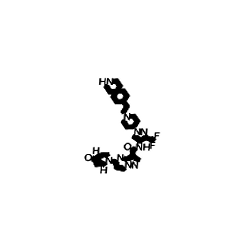 O=C(Nc1cn(C2CCN(CCC3CCC4(CCNCC4)CC3)CC2)nc1C(F)F)c1cnn2ccc(N3C[C@H]4C[C@@H]3CC4=O)nc12